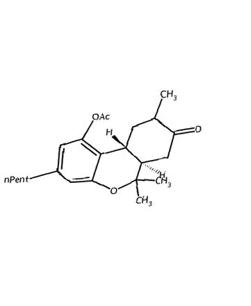 CCCCCc1cc(OC(C)=O)c2c(c1)OC(C)(C)[C@@H]1CC(=O)C(C)C[C@@H]21